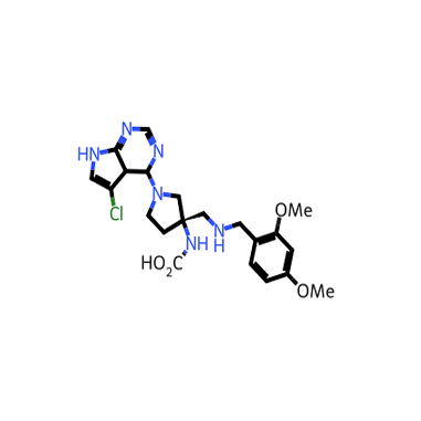 COc1ccc(CNC[C@@]2(NC(=O)O)CCN(C3N=CN=C4NC=C(Cl)C43)C2)c(OC)c1